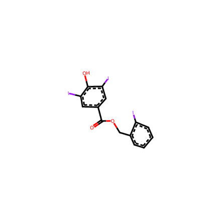 O=C(OCc1ccccc1I)c1cc(I)c(O)c(I)c1